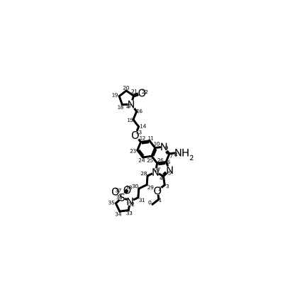 CCOCc1nc2c(N)nc3cc(OCCCN4CCCC4=O)ccc3c2n1CCCCN1CCCS1(=O)=O